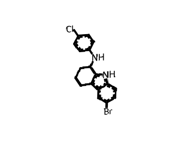 Clc1ccc(NC2CCCc3c2[nH]c2ccc(Br)cc32)cc1